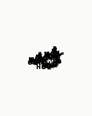 CCc1nc2c(cnn2CC)c(NC2CCN(C(N)=O)CC2)c1CNC(=O)c1ccc(Cc2ccc(C(=O)NCc3c(CC)nc4c(cnn4CC)c3NC3CCN(C(N)=O)CC3)cc2)cc1